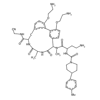 CC1NC(=O)C(N(C)C(=O)C(CCN)NC(=O)N2CCC(c3ccc(C(C)(C)C)cc3)CC2)c2ccc(OCCN)c(c2)-c2cc(ccc2OCCN)CC(C(=O)NCC#N)NC1=O